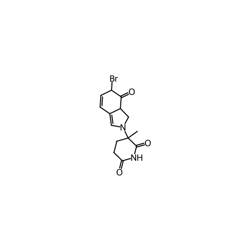 CC1(N2C=C3C=CC(Br)C(=O)C3C2)CCC(=O)NC1=O